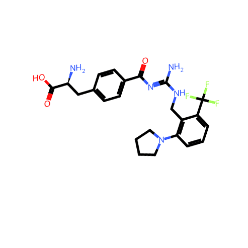 N/C(=N\C(=O)c1ccc(C[C@H](N)C(=O)O)cc1)NCc1c(N2CCCC2)cccc1C(F)(F)F